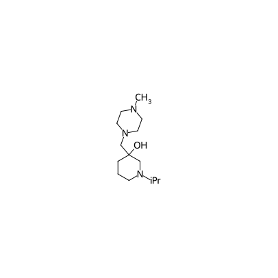 CC(C)N1CCCC(O)(CN2CCN(C)CC2)C1